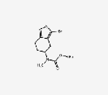 CN(C(=O)OC(C)(C)C)C1CCc2csc(Br)c2C1